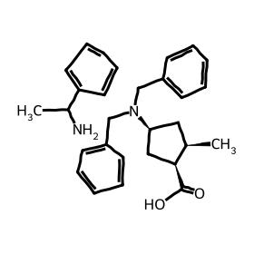 CC(N)c1ccccc1.C[C@@H]1C[C@H](N(Cc2ccccc2)Cc2ccccc2)C[C@@H]1C(=O)O